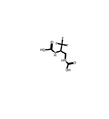 O=C(O)NCC(NC(=O)O)C(F)(F)F